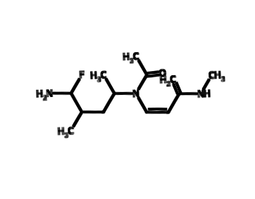 C=C(/C=C\N(C(C)=O)C(C)CC(C)C(N)F)NC